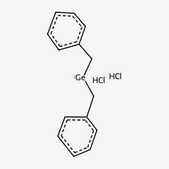 Cl.Cl.c1ccc([CH2][Ge][CH2]c2ccccc2)cc1